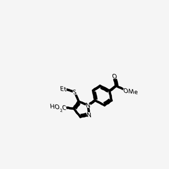 CCSc1c(C(=O)O)cnn1-c1ccc(C(=O)OC)cc1